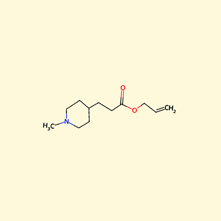 C=CCOC(=O)CCC1CCN(C)CC1